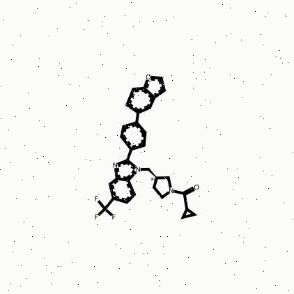 O=C(C1CC1)N1CC[C@@H](Cn2c(-c3ccc(-c4ccc5occc5c4)cc3)nc3cc(C(F)(F)F)ccc32)C1